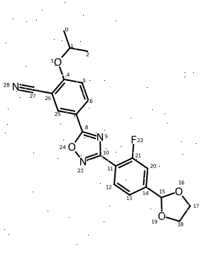 CC(C)Oc1ccc(-c2nc(-c3ccc(C4OCCO4)cc3F)no2)cc1C#N